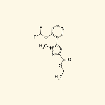 CCOC(=O)c1cc(-c2cnccc2OC(F)F)n(C)n1